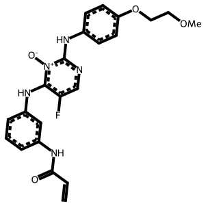 C=CC(=O)Nc1cccc(Nc2c(F)cnc(Nc3ccc(OCCOC)cc3)[n+]2[O-])c1